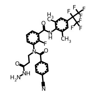 Cc1cc(C(F)(C(F)(F)F)C(F)(F)F)cc(C)c1NC(=O)c1cccc(N(CCC(=O)NN)C(=O)c2ccc(C#N)cc2)c1F